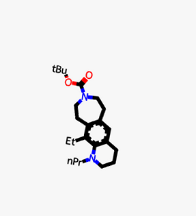 CCCN1CCCc2cc3c(c(CC)c21)CCN(C(=O)OC(C)(C)C)CC3